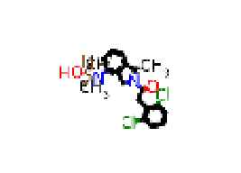 C[C@H]1c2cccc(N=[SH](C)(C)O)c2CN1C(=O)Cc1c(Cl)cccc1Cl